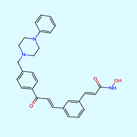 O=C(C=Cc1cccc(C=CC(=O)c2ccc(CN3CCN(c4ccccc4)CC3)cc2)c1)NO